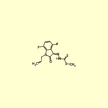 C=CCN1C(=O)C(=NNC(=S)SC)c2c(F)ccc(F)c21